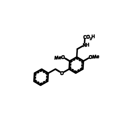 COc1ccc(OCc2ccccc2)c(OC)c1CNC(=O)O